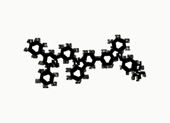 C[SH](C)(C)(C)c1ccc(-n2c3ccccc3c3cc(-c4ccc5c(c4)c4ccccc4n5-c4cccc(-c5cc(-c6ccccc6)cc(-c6ccccc6)n5)c4)ccc32)cc1